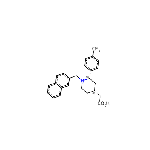 O=C(O)C[C@@H]1CCN(Cc2ccc3ccccc3c2)[C@H](c2ccc(C(F)(F)F)cc2)C1